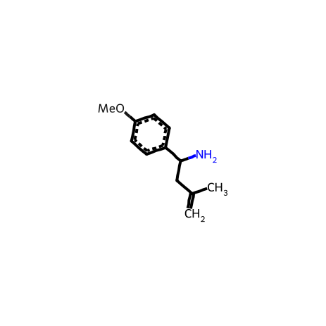 C=C(C)CC(N)c1ccc(OC)cc1